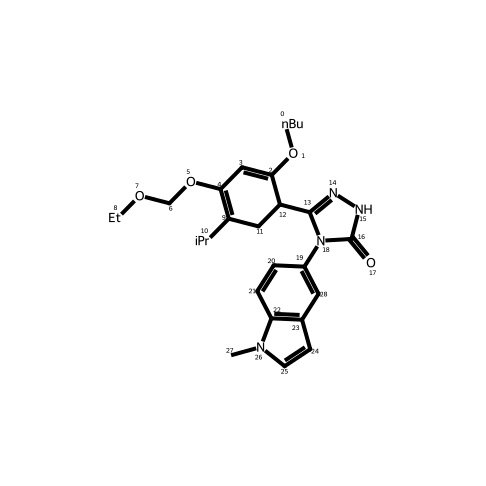 CCCCOC1=CC(OCOCC)=C(C(C)C)CC1c1n[nH]c(=O)n1-c1ccc2c(ccn2C)c1